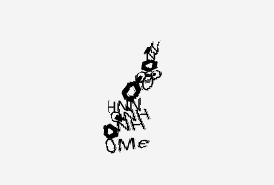 COc1cccc(NC(=O)Nc2nc3cc(OS(=O)(=O)c4ccc(-n5ccnc5)cc4)ccc3[nH]2)c1